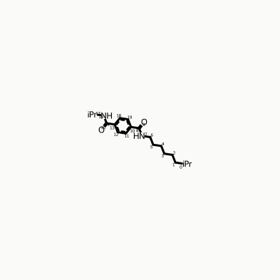 CC(C)CCCCCCNC(=O)c1ccc(C(=O)NC(C)C)cc1